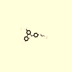 NCCOc1ccc(C(=O)c2ccc(O)cc2-c2ccc(O)cc2)cc1